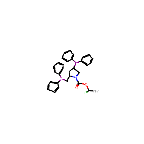 CCCC(F)OC(=O)N1CC(P(c2ccccc2)c2ccccc2)CC1CP(c1ccccc1)c1ccccc1